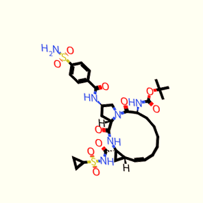 CC(C)(C)OC(=O)N[C@H]1CCCCC/C=C\[C@@H]2C[C@@]2(C(=O)NS(=O)(=O)C2CC2)NC(=O)[C@@H]2C[C@@H](NC(=O)c3ccc(S(N)(=O)=O)cc3)CN2C1=O